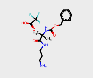 CC(C)(NC(=O)OCc1ccccc1)C(=O)NCCCN.O=C(O)C(F)(F)F